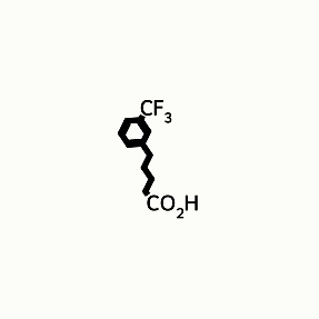 O=C(O)CCCCc1cccc(C(F)(F)F)c1